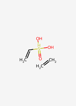 C=C.C=C[SH](=O)(O)O